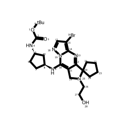 CC(C)(C)OC(=O)N[C@H]1CC[C@H](Nc2c3c(nc4c(Br)cnn24)C2(CCCC2)N(CCO)C3)C1